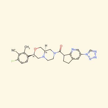 Cc1c([C@@H]2CN3CCN(C(=O)C4CCc5cc(-n6cnnn6)cnc54)C[C@@H]3CO2)ccc(F)c1C#N